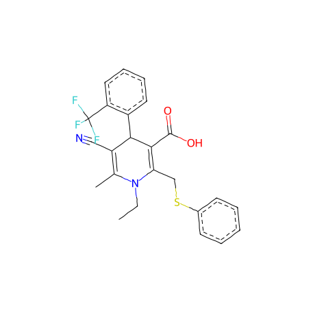 CCN1C(C)=C(C#N)C(c2ccccc2C(F)(F)F)C(C(=O)O)=C1CSc1ccccc1